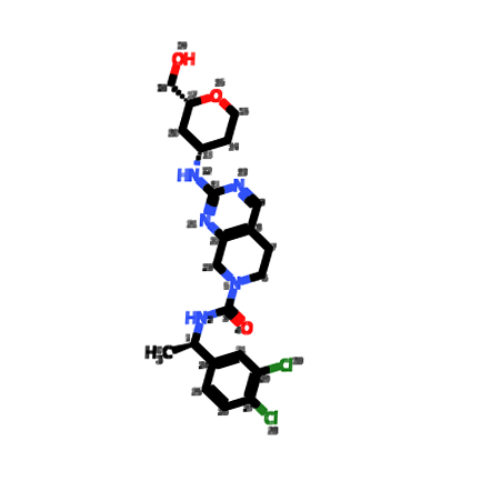 C[C@@H](NC(=O)N1CCc2cnc(N[C@H]3CCO[C@@H](CO)C3)nc2C1)c1ccc(Cl)c(Cl)c1